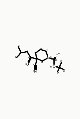 CC(C)CC(=O)C1(C#N)CCCN(C(=O)OC(C)(C)C)C1